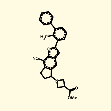 COC(=O)C1CN(C2CCc3c2cc2cc(-c4cccc(-c5ccccc5)c4C)oc2c3C#N)C1